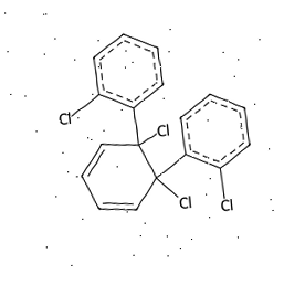 Clc1ccccc1C1(Cl)C=[C]C=CC1(Cl)c1ccccc1Cl